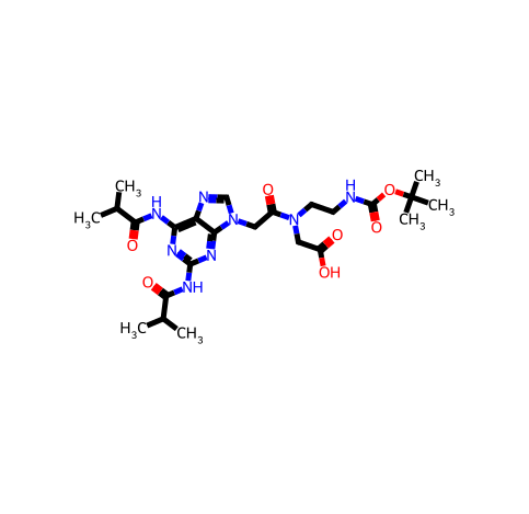 CC(C)C(=O)Nc1nc(NC(=O)C(C)C)c2ncn(CC(=O)N(CCNC(=O)OC(C)(C)C)CC(=O)O)c2n1